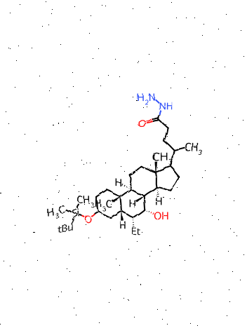 CC[C@H]1[C@@H](O)[C@@H]2[C@H](CC[C@]3(C)C(C(C)CCC(=O)NN)CC[C@@H]23)[C@@]2(C)CCC(O[Si](C)(C)C(C)(C)C)C[C@@H]12